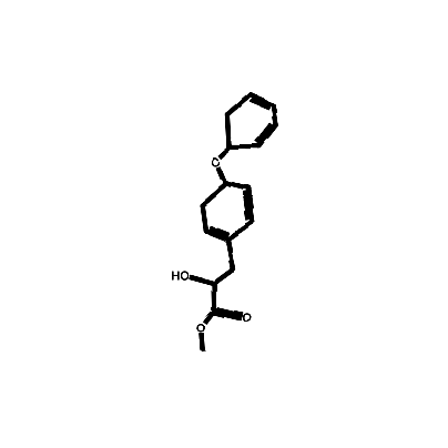 COC(=O)C(O)CC1=CCC(OC2C=CC=CC2)C=C1